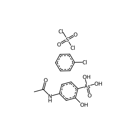 CC(=O)Nc1ccc([As](=O)(O)O)c(O)c1.Clc1ccccc1.O=S(=O)(Cl)Cl